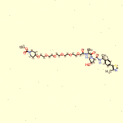 Cc1ncsc1-c1ccc(C(C)NC(=O)[C@@H]2C[C@@H](O)CN2C(=O)C(NC(=O)COCCOCCOCCOCCOCCOC2CCN(C(=O)OC(C)(C)C)CC2)C(C)(C)C)cc1